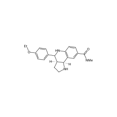 CCOc1ccc(C2Nc3ccc(C(=O)NC)cc3[C@H]3NCC[C@@H]23)cc1